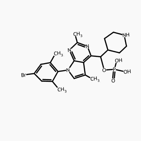 Cc1nc(C(OP(=O)(O)O)C2CCNCC2)c2c(C)cn(-c3c(C)cc(Br)cc3C)c2n1